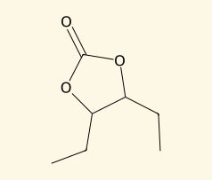 CCC1OC(=O)OC1CC